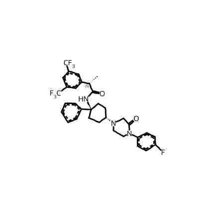 C[C@H](C(=O)N[C@]1(c2ccccc2)CC[C@@H](N2CCN(c3ccc(F)cc3)C(=O)C2)CC1)c1cc(C(F)(F)F)cc(C(F)(F)F)c1